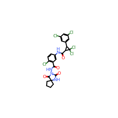 O=C(NN1C(=O)NC2(CCCC2)C1=O)c1cc(NC(=O)C2C(c3cc(Cl)cc(Cl)c3)C2(Cl)Cl)ccc1Cl